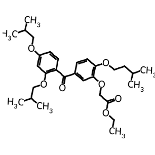 CCOC(=O)COc1cc(C(=O)c2ccc(OCC(C)C)cc2OCC(C)C)ccc1OCCC(C)C